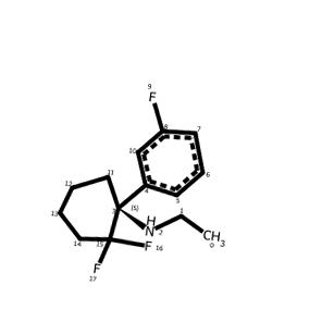 CCN[C@]1(c2cccc(F)c2)CCCCC1(F)F